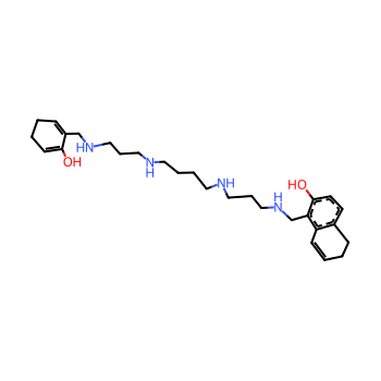 OC1=CCCC=C1CNCCCNCCCCNCCCNCc1c(O)ccc2c1C=CCC2